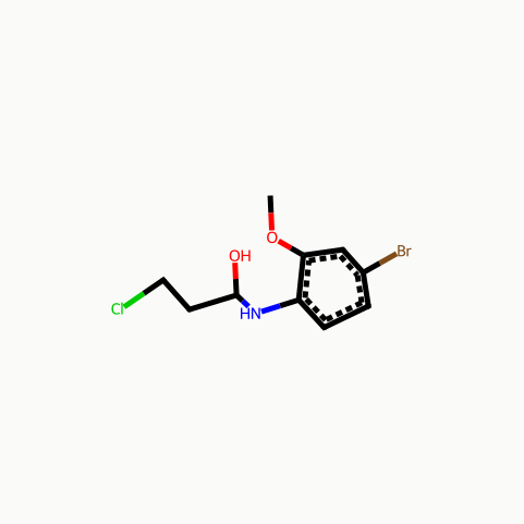 COc1cc(Br)ccc1NC(O)CCCl